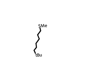 CSCCCCCCC(C)(C)C